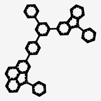 c1ccc(-c2cc(-c3ccc(-c4cc5ccc6cccc7c6c5c(c4)n7-c4ccccc4)cc3)cc(-c3ccc4c(c3)c3ccccc3n4-c3ccccc3)c2)cc1